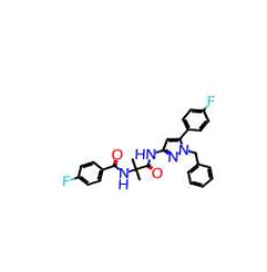 CC(C)(NC(=O)c1ccc(F)cc1)C(=O)Nc1cc(-c2ccc(F)cc2)n(Cc2ccccc2)n1